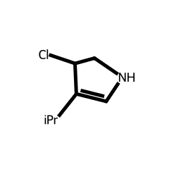 CC(C)C1=CNCC1Cl